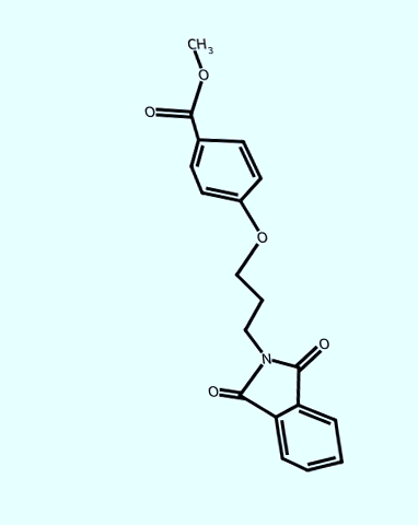 COC(=O)c1ccc(OCCCN2C(=O)c3ccccc3C2=O)cc1